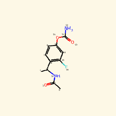 CC(=O)NC(C)c1ccc(OC(N)=O)cc1F